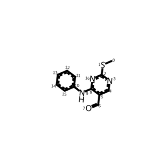 CSc1ncc(C=O)c(Nc2ccccc2)n1